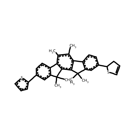 Cc1c(C)c2c(c3c1-c1ccc(-c4cccs4)cc1C3(C)C)C(C)(C)c1cc(C3CC=CS3)ccc1-2